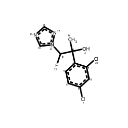 CC(O)(c1ccc(Cl)cc1Cl)C(F)n1cncn1